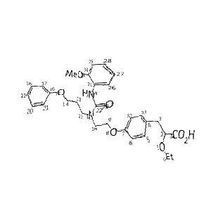 CCOC(Cc1ccc(OCCN(CCCOc2ccccc2)C(=O)Nc2ccccc2OC)cc1)C(=O)O